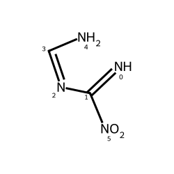 N=C(/N=C\N)[N+](=O)[O-]